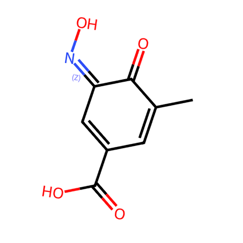 CC1=CC(C(=O)O)=C/C(=N/O)C1=O